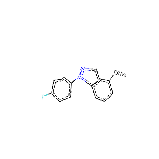 COc1cccc2c1cnn2-c1ccc(F)cc1